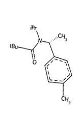 Cc1ccc([C@@H](C)N(C(=O)C(C)(C)C)C(C)C)cc1